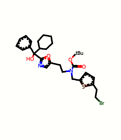 CC(C)(C)OC(=O)N(CCc1cnc(C(O)(c2ccccc2)C2CCCCC2)o1)Cc1ccc(CCBr)s1